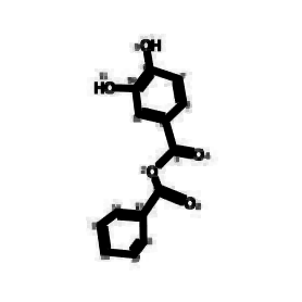 O=C(OC(=O)c1ccc(O)c(O)c1)c1ccccc1